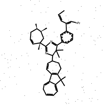 C/C=C\C(=C\CCC)c1cccc(C2=NC([C@]3(C)C=CC[C@@H](C)[C@@H](C)C3)=NC(C3C=CC4=C(CC3)C(C)(C)C3=CC=CCC=C34)C2(C)C)c1